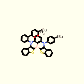 Cc1cc2c3c(c1)N(c1ccccc1-c1ccc(C(C)(C)C)cc1)c1c(sc4ccccc14)B3c1sc3ccccc3c1N2c1ccc(C(C)(C)C)cc1